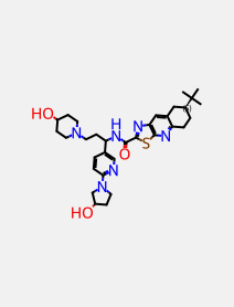 CC(C)(C)[C@H]1CCc2nc3sc(C(=O)NC(CCN4CCC(O)CC4)c4ccc(N5CCC(O)C5)nc4)nc3cc2C1